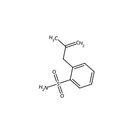 C=C(C)Cc1ccccc1S(N)(=O)=O